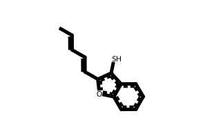 CC=CC=Cc1oc2ccccc2c1S